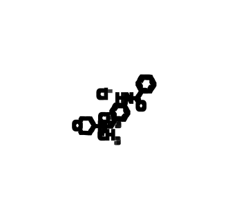 C[N+](C)(Cc1ccc(NC(=O)c2ccccc2)cc1)C1CCOCC1.[Cl-]